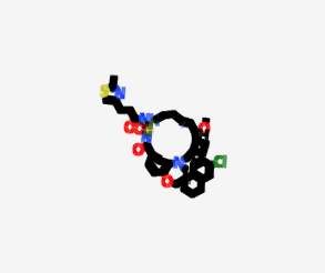 CO[C@H]1/C=C/CCC[S@@](=O)(NC(=O)CCc2csc(C)n2)=NC(=O)c2ccc3c(c2)N(C[C@@H]2CC[C@H]21)C[C@@]1(CCCc2cc(Cl)ccc21)CO3